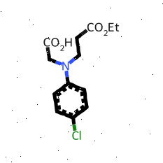 CCOC(=O)CCN(CC(=O)O)c1ccc(Cl)cc1